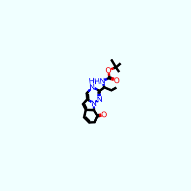 CCC(NC(=O)OC(C)(C)C)C1=NN2C(=CN1)C=C1C=CCC(=O)C12